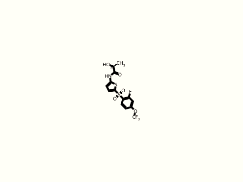 C[C@H](O)C(=O)Nc1ccc(S(=O)(=O)c2ccc(OC(F)(F)F)cc2F)s1